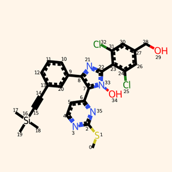 CSc1nccc(-c2c(-c3cccc(C#C[Si](C)(C)C)c3)nc(-c3c(Cl)cc(CO)cc3Cl)n2O)n1